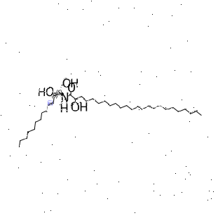 CCCCCCCCC/C=C/[C@@H](O)[C@H](CO)NC(=O)C(O)CCCCCCCCCCCCCCCCCCCCCC